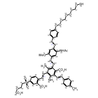 COc1cc(/N=N/c2ccc(OOOCOOSCOS)cc2)c(NC(C)=O)cc1/N=N/c1c(N)c(/N=N/c2ccc(S(=O)(=O)CCOS(=O)(=O)O)cc2S(=O)(=O)O)c(N)c(/N=N/c2ccc(C)cc2)c1C(=O)O